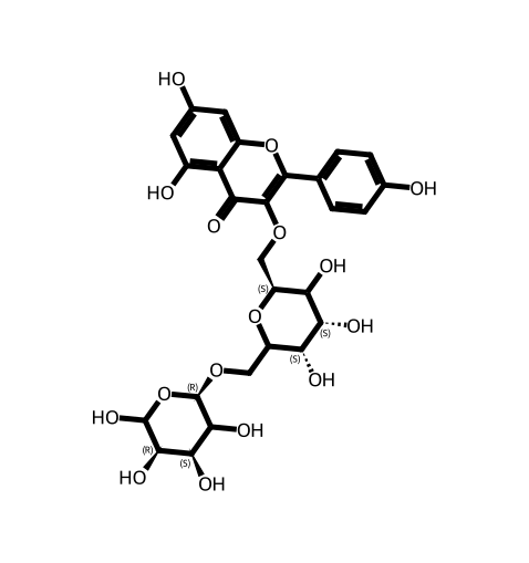 O=c1c(OC[C@@H]2OC(CO[C@@H]3OC(O)[C@H](O)[C@H](O)C3O)[C@@H](O)[C@@H](O)C2O)c(-c2ccc(O)cc2)oc2cc(O)cc(O)c12